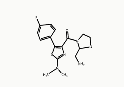 CN(C)c1nc(C(=O)N2CCOC2CN)c(-c2ccc(F)cc2)s1